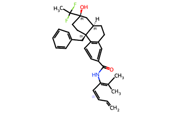 C=C/C=C\C(NC(=O)c1ccc2c(c1)CC[C@@H]1C[C@@](O)(C(C)(F)F)CC[C@@]21Cc1ccccc1)=C(C)C